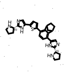 c1nc([C@@H]2CCCN2)[nH]c1-c1ccc(-c2ccc(-c3cnc([C@@H]4CCCN4)[nH]3)c3c2C2CCC3C2)s1